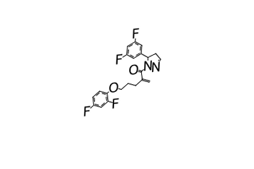 C=C(CCCOc1ccc(F)cc1F)C(=O)N1N=CCC1c1cc(F)cc(F)c1